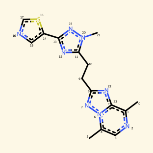 Cc1ncc(C)n2nc(CCc3nc(-c4cncs4)nn3C)nc12